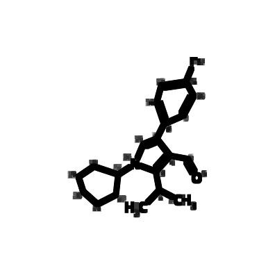 CC(C)c1c(C=O)c(-c2ccc(F)cc2)cn1C1CCCCC1